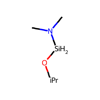 CC(C)O[SiH2]N(C)C